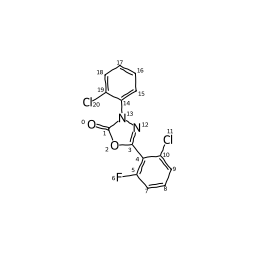 O=c1oc(-c2c(F)cccc2Cl)nn1-c1ccccc1Cl